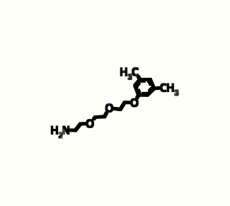 Cc1cc(C)cc(OCCOCCOCCN)c1